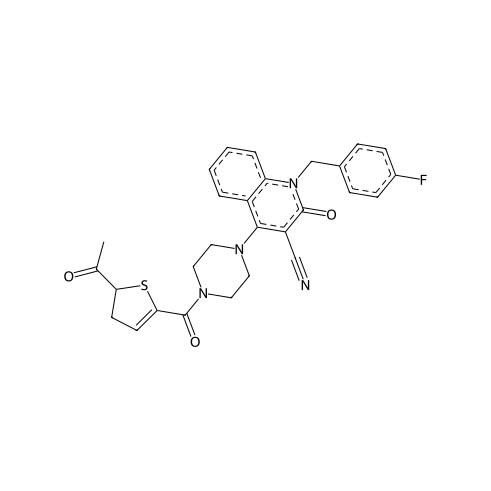 CC(=O)C1CC=C(C(=O)N2CCN(c3c(C#N)c(=O)n(Cc4ccc(F)cc4)c4ccccc34)CC2)S1